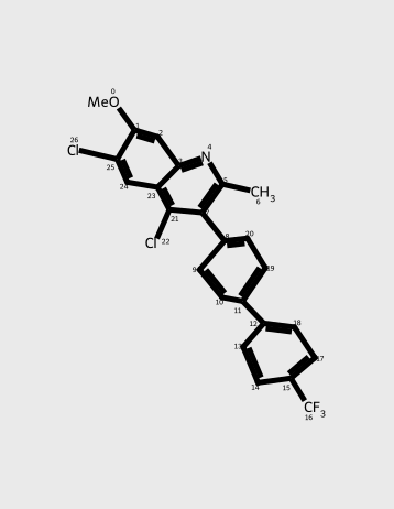 COc1cc2nc(C)c(-c3ccc(-c4ccc(C(F)(F)F)cc4)cc3)c(Cl)c2cc1Cl